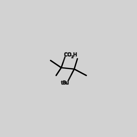 CC(C)(C)C(C)(C)C(C)(C)C(=O)O